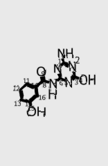 Nc1nc(O)nc(NC(=O)c2cccc(O)c2)n1